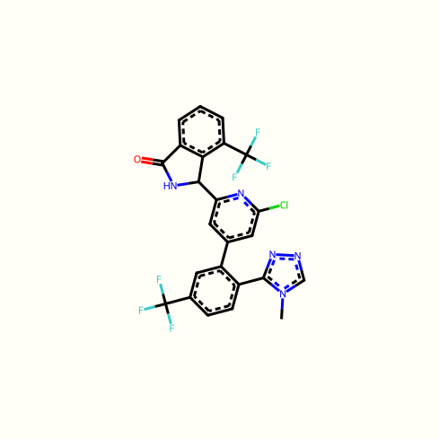 Cn1cnnc1-c1ccc(C(F)(F)F)cc1-c1cc(Cl)nc(C2NC(=O)c3cccc(C(F)(F)F)c32)c1